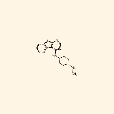 CNC1CCC(Nc2ncnc3sc4ccccc4c23)CC1